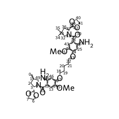 C=C1C[C@@H](C2OCCO2)N(C(=O)c2cc(OC)c(OCCCCCOc3cc(N)c(C(=O)N4CC(C)(C)C[C@H]4C4OCCO4)cc3OC)cc2N)C1